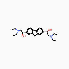 CCN(CC)CC(O)c1ccc2c(c1)Cc1cc(C(O)CN(CC)CC)ccc1-2